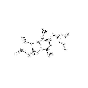 C=CCN(CC=C)Cc1cc(O)c(CN(CC=C)CC=C)cc1O